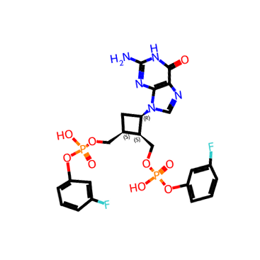 Nc1nc2c(ncn2[C@@H]2C[C@H](COP(=O)(O)Oc3cccc(F)c3)[C@@H]2COP(=O)(O)Oc2cccc(F)c2)c(=O)[nH]1